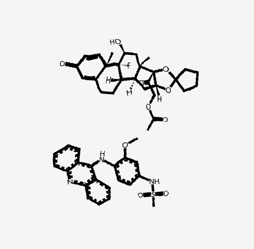 CC(=O)OCC(=O)[C@@]12OC3(CCCC3)O[C@@H]1C[C@H]1[C@@H]3CCC4=CC(=O)C=C[C@]4(C)[C@@]3(F)[C@@H](O)C[C@@]12C.COc1cc(NS(C)(=O)=O)ccc1Nc1c2ccccc2nc2ccccc12